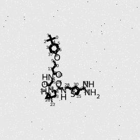 CC(C)(C)c1ccc(OCCCC(=O)NCC(=O)N2[C@H]3C[C@@]3(C)C[C@H]2C(=O)NCc2cc(C(=N)N)cs2)cc1